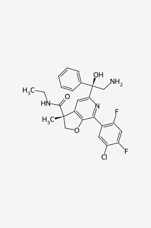 CCNC(=O)[C@@]1(C)COc2c1cc([C@@](O)(CN)c1ccccc1)nc2-c1cc(Cl)c(F)cc1F